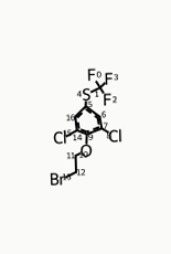 FC(F)(F)Sc1cc(Cl)c(OCCBr)c(Cl)c1